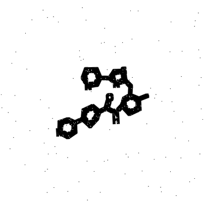 Cc1ccc(NC(=O)c2ccc(-c3ccncc3)cc2)cc1Cc1nc(-c2cccnc2)cs1